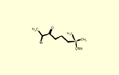 CO[Si](C)(C)CCCC(=O)C(C)Br